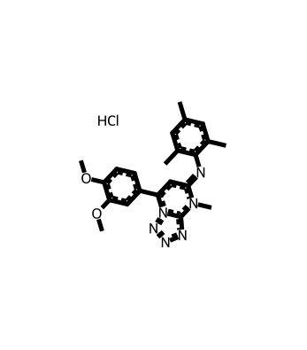 COc1ccc(-c2cc(=Nc3c(C)cc(C)cc3C)n(C)c3nnnn23)cc1OC.Cl